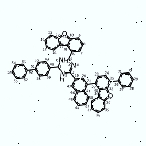 NC(N/C(=N\Cc1cccc2oc3ccccc3c12)c1cc(-c2ccc(-c3ccccc3)c3oc4ccccc4c23)c2ccccc2c1)c1ccc(-c2ccccc2)cc1